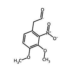 COc1ccc(C[C]=O)c([N+](=O)[O-])c1OC